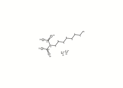 CCCCCCCCC(C(=O)[O-])C(=O)[O-].[Li+].[Li+]